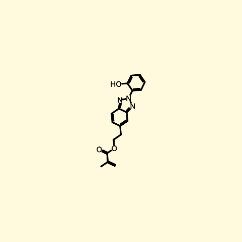 C=C(C)C(=O)OCCc1ccc2nn(-c3ccccc3O)nc2c1